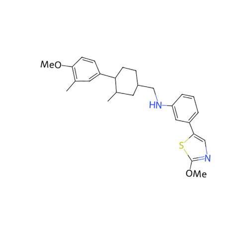 COc1ncc(-c2cccc(NCC3CCC(c4ccc(OC)c(C)c4)C(C)C3)c2)s1